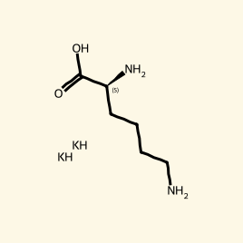 NCCCC[C@H](N)C(=O)O.[KH].[KH]